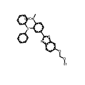 CCOCOc1ccc2nc(-c3ccc(N(C)C=O)c([S+](c4ccccc4)c4ccccc4)c3)sc2c1